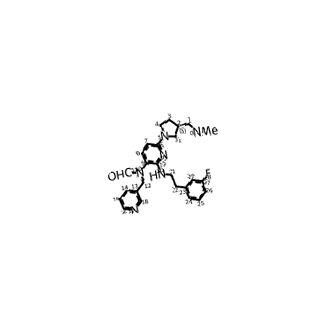 CNC[C@@H]1CCN(c2ccc(N(C=O)Cc3cccnc3)c(NCCc3cccc(F)c3)n2)C1